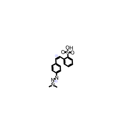 CN(C)/N=N/c1ccc(/C=C\c2ccccc2S(=O)(=O)O)cc1